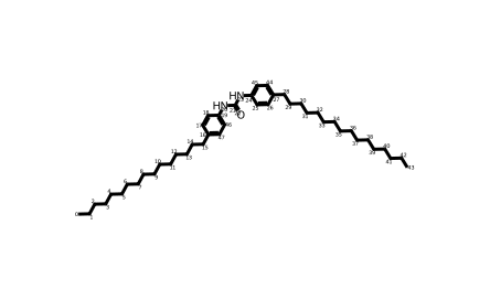 CCCCCCCCCCCCCCCCc1ccc(NC(=O)Nc2ccc(CCCCCCCCCCCCCCCC)cc2)cc1